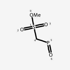 COS(=O)(=O)CP=O